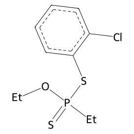 CCOP(=S)(CC)Sc1ccccc1Cl